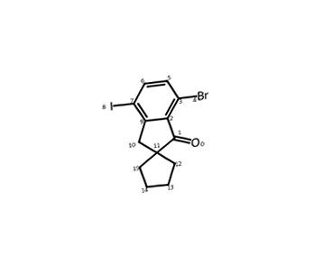 O=C1c2c(Br)ccc(I)c2CC12CCCC2